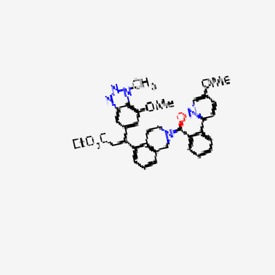 CCOC(=O)CC(c1cc(OC)c2c(c1)nnn2C)c1cccc2c1CCN(C(=O)c1ccccc1-c1ccc(OC)cn1)C2